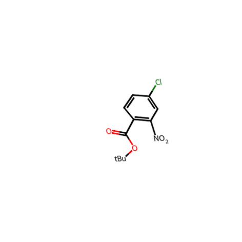 CC(C)(C)OC(=O)c1ccc(Cl)cc1[N+](=O)[O-]